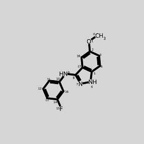 COc1ccc2[nH]nc(Nc3cccc(F)c3)c2c1